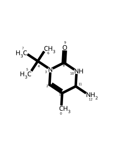 CC1=CN(C(C)(C)C)C(=O)NC1N